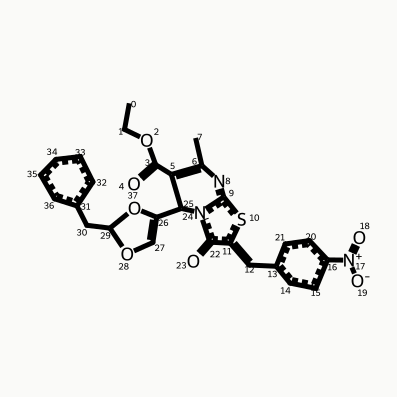 CCOC(=O)C1=C(C)N=c2sc(=Cc3ccc([N+](=O)[O-])cc3)c(=O)n2C1C1=COC(Cc2ccccc2)O1